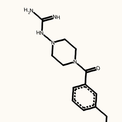 N=C(N)NN1CCN(C(=O)c2cccc(CCl)c2)CC1